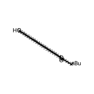 CCCC/C=C\CCCCCCCC(=O)OCCCCCCCCCCCCCCCCCCCCCCCCCCCCCCCCCCCCCCCO